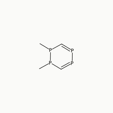 CP1C=PP=CP1C